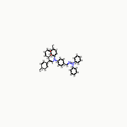 Cc1ccc(N(/C=C(/C2=CCC(C)C=C2)C2C=CC=CC2)c2ccc(/C=N/N(c3ccccc3)c3ccccc3)cc2)cc1